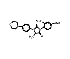 COc1ccc(N2C(=O)C(C)N(c3ccc(N4CCOCC4)cc3)C2=S)c(OC)c1